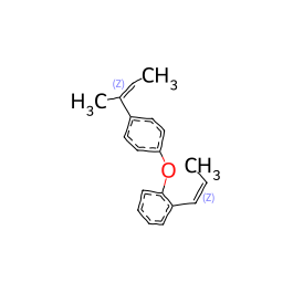 C/C=C\c1ccccc1Oc1ccc(/C(C)=C\C)cc1